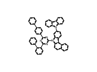 c1ccc(-c2ccc(-c3nc(-c4ccccc4-c4ccccc4)nc(-n4c5cc(-n6c7ccccc7c7ccccc76)ccc5c5c6ccccc6ccc54)n3)cc2)cc1